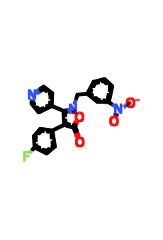 O=c1on(Cc2cccc([N+](=O)[O-])c2)c(-c2ccncc2)c1-c1ccc(F)cc1